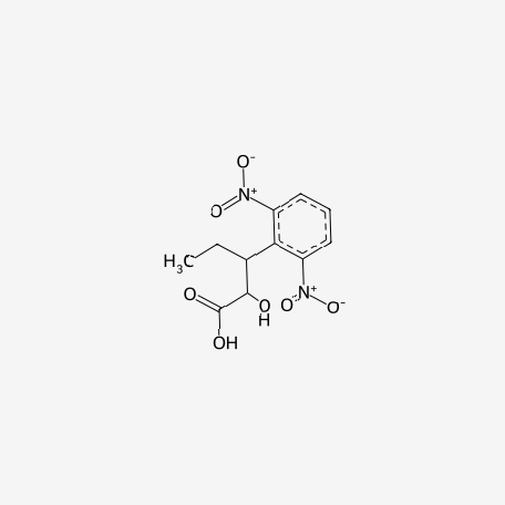 CCC(c1c([N+](=O)[O-])cccc1[N+](=O)[O-])C(O)C(=O)O